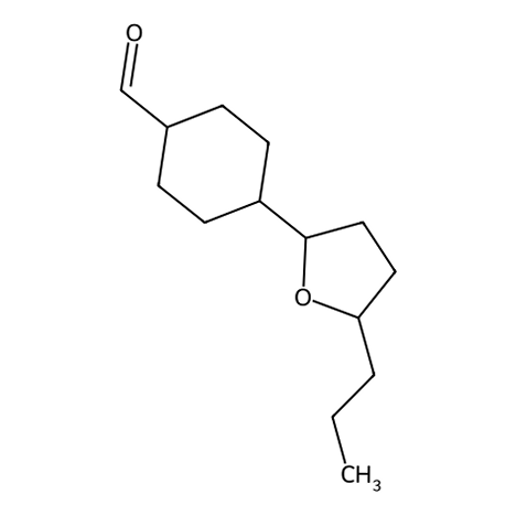 CCCC1CCC(C2CCC(C=O)CC2)O1